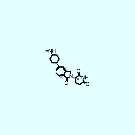 C=C(/C=C1/CN([C@H]2CCC(=O)NC2=O)C(=O)/C1=C/C)[C@H]1CC[C@H](NC)CC1